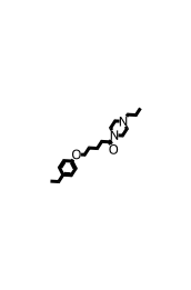 CCCN1CCN(C(=O)CCCCOc2ccc(CC)cc2)CC1